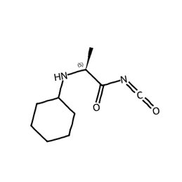 C[C@H](NC1CCCCC1)C(=O)N=C=O